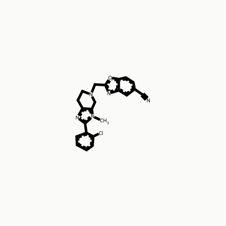 Cn1c(-c2ccccc2Cl)nc2c1CN(Cc1nc3cc(C#N)ccc3o1)CC2